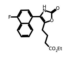 CCOC(=O)CCCc1oc(=O)[nH]c1-c1ccc(F)c2ccccc12